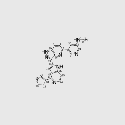 CC(C)Nc1cncc(-c2ccc3[nH]nc(-c4cc5c(-c6ccsc6)nccc5[nH]4)c3n2)c1